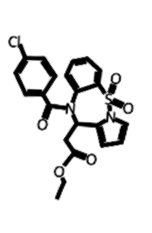 CCOC(=O)CC1c2cccn2S(=O)(=O)c2ccccc2N1C(=O)c1ccc(Cl)cc1